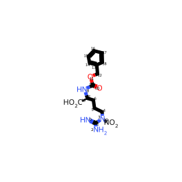 N=C(N)N(CCC[C@H](NC(=O)OCc1ccccc1)C(=O)O)[N+](=O)[O-]